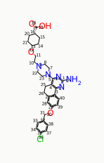 Nc1nc2c(c(N3CCN(CCO[C@H]4CC[C@@H](C(=O)O)CC4)CC3)n1)CCc1cc(OCc3ccc(Cl)cc3)ccc1-2